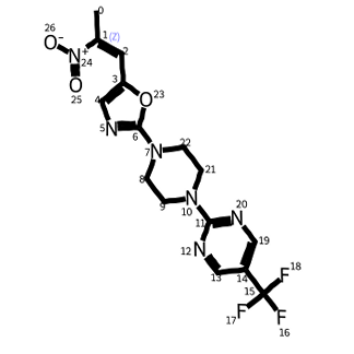 C/C(=C/c1cnc(N2CCN(c3ncc(C(F)(F)F)cn3)CC2)o1)[N+](=O)[O-]